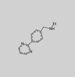 CCNCc1ccc(-c2ncccn2)cc1